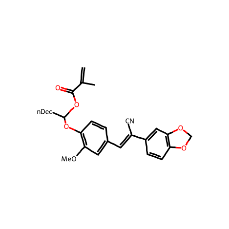 C=C(C)C(=O)OC(CCCCCCCCCC)Oc1ccc(C=C(C#N)c2ccc3c(c2)OCO3)cc1OC